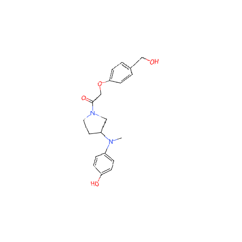 CN(c1ccc(O)cc1)C1CCN(C(=O)COc2ccc(CO)cc2)C1